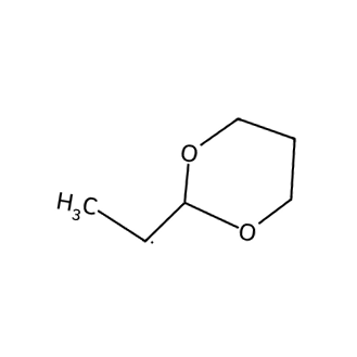 C[CH]C1OCCCO1